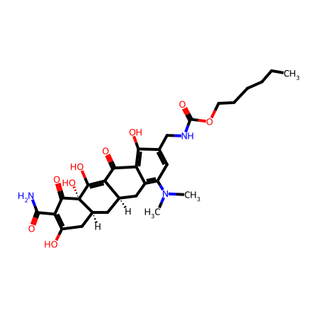 CCCCCCOC(=O)NCc1cc(N(C)C)c2c(c1O)C(=O)C1=C(O)[C@]3(O)C(=O)C(C(N)=O)=C(O)C[C@@H]3C[C@@H]1C2